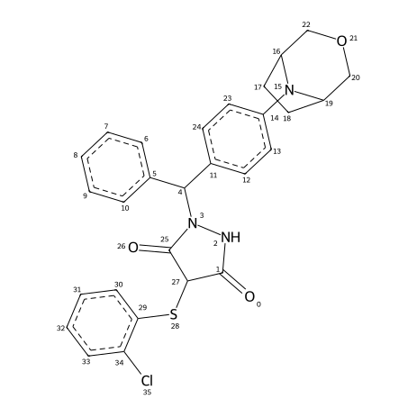 O=C1NN(C(c2ccccc2)c2ccc(N3C4CCC3COC4)cc2)C(=O)C1Sc1ccccc1Cl